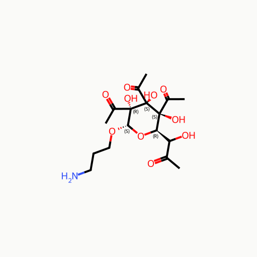 CC(=O)C(O)[C@H]1O[C@H](OCCCN)[C@@](O)(C(C)=O)[C@](O)(C(C)=O)[C@]1(O)C(C)=O